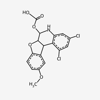 COc1ccc2c(c1)C1c3c(Cl)cc(Cl)cc3NC(OC(=O)O)C1O2